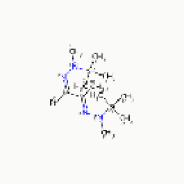 CCC(=NN(C)[Si](C)(C)C)C(C)=NN(C)[Si](C)(C)C